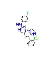 Fc1ccc(Nc2ncc3c(n2)N2CCN=C2C(c2ccccc2Cl)=C3)cc1